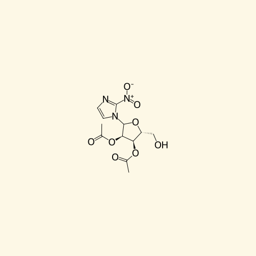 CC(=O)O[C@@H]1[C@@H](CO)OC(n2ccnc2[N+](=O)[O-])[C@@H]1OC(C)=O